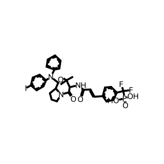 CC(C)(C)C(NC(=O)/C=C/c1ccc(C(F)(F)P(=O)(O)O)cc1)C(=O)N1CCCC1C(=O)N(c1ccccc1)c1ccc(I)cc1